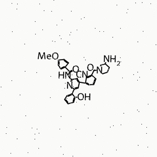 COc1ccc(C(=O)Nc2nc(-c3ccccc3O)cc(-c3cccc(C(=O)N4CCCC(N)C4)c3)c2C#N)cc1